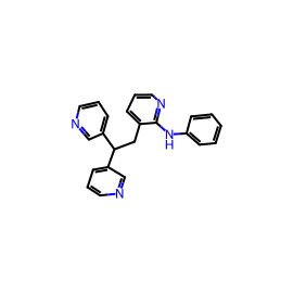 c1ccc(Nc2ncccc2CC(c2cccnc2)c2cccnc2)cc1